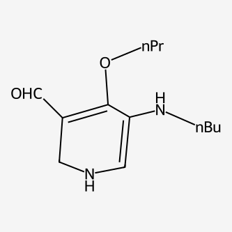 CCCCNC1=CNCC(C=O)=C1OCCC